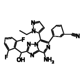 CCn1nccc1-c1c(-c2cccc(C#N)c2)nc(N)c2nc(C(O)c3c(F)cccc3F)nn12